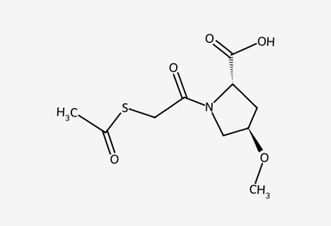 CO[C@@H]1C[C@@H](C(=O)O)N(C(=O)CSC(C)=O)C1